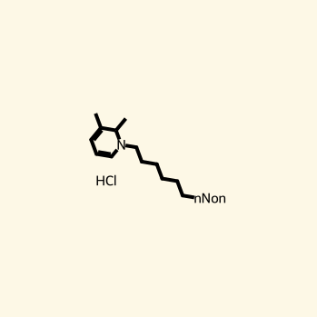 CCCCCCCCCCCCCCCN1C=CC=C(C)C1C.Cl